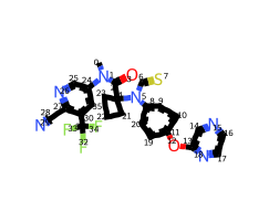 CN(C(=O)C1(N(C=S)c2ccc(Oc3cnccn3)cc2)CCC1)c1cnc(C#N)c(C(F)(F)F)c1